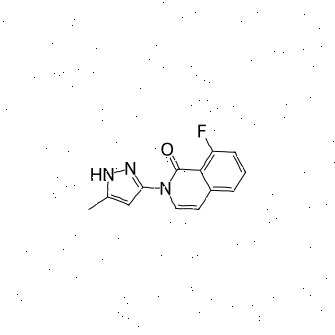 Cc1cc(-n2ccc3cccc(F)c3c2=O)n[nH]1